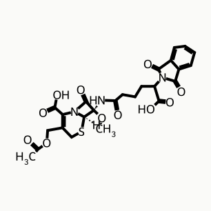 CO[C@]1(NC(=O)CCCC(C(=O)O)N2C(=O)c3ccccc3C2=O)C(=O)N2C(C(=O)O)=C(COC(C)=O)CS[C@@H]21